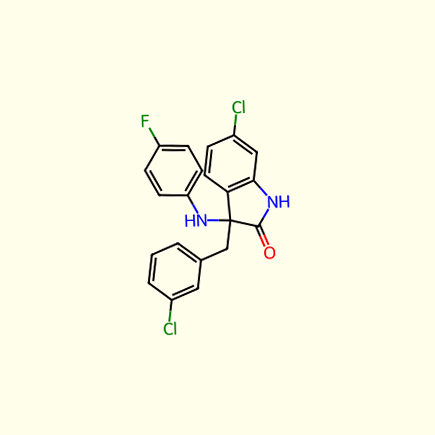 O=C1Nc2cc(Cl)ccc2C1(Cc1cccc(Cl)c1)Nc1ccc(F)cc1